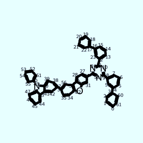 c1ccc(-c2cccc(-c3nc(-c4cccc(-c5ccccc5)c4)nc(-c4ccc5c(c4)oc4ccc(-c6ccc7c(c6)c6ccccc6n7-c6ccccc6)cc45)n3)c2)cc1